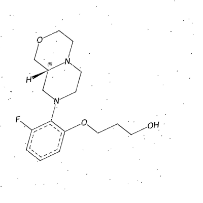 OCCCOc1cccc(F)c1N1CCN2CCOC[C@H]2C1